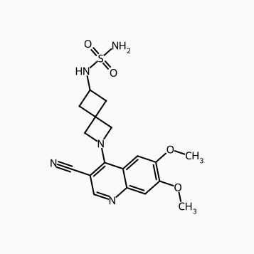 COc1cc2ncc(C#N)c(N3CC4(CC(NS(N)(=O)=O)C4)C3)c2cc1OC